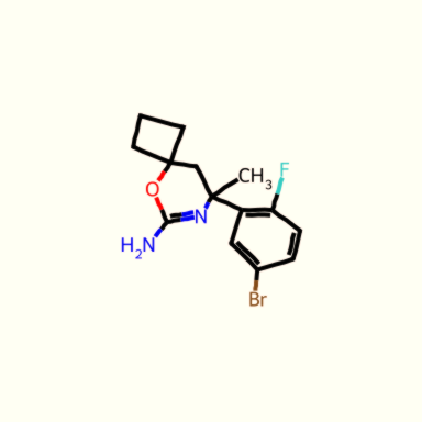 CC1(c2cc(Br)ccc2F)CC2(CCC2)OC(N)=N1